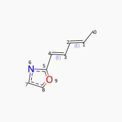 [CH2]/C=C/C=C/c1ncco1